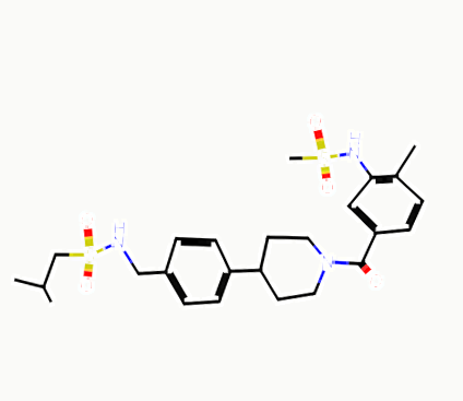 Cc1ccc(C(=O)N2CCC(c3ccc(CNS(=O)(=O)CC(C)C)cc3)CC2)cc1NS(C)(=O)=O